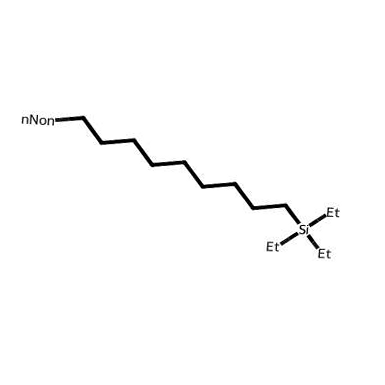 [CH2]CCCCCCCCCCCCCCCCC[Si](CC)(CC)CC